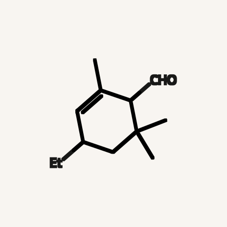 CCC1C=C(C)C(C=O)C(C)(C)C1